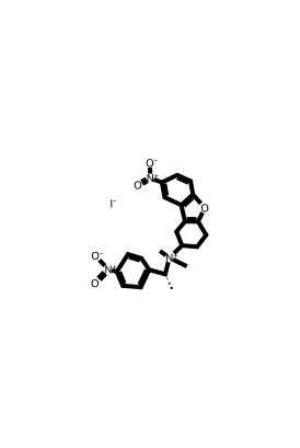 C[C@H](c1ccc([N+](=O)[O-])cc1)[N+](C)(C)C1CCc2oc3ccc([N+](=O)[O-])cc3c2C1.[I-]